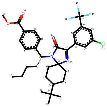 CCCC[C@H](c1ccc(C(=O)OC)cc1)N1C(=O)C(c2cc(Cl)cc(C(F)(F)F)c2)=NC12CCC(C(C)(C)C)CC2